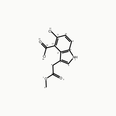 COC(=O)Cc1c[nH]c2ccc(Cl)c(C(=O)Cl)c12